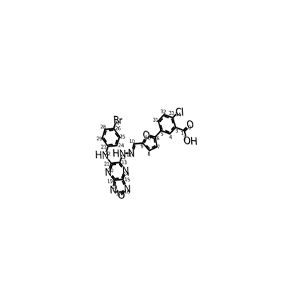 O=C(O)c1cc(-c2ccc(C=NNc3nc4nonc4nc3Nc3ccc(Br)cc3)o2)ccc1Cl